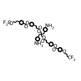 Nc1ccc(CC(COC(=O)/C=C/c2ccc(OC(=O)c3ccc(CCCOC(F)(F)F)cc3)cc2)(COC(=O)/C=C/c2ccc(OC(=O)c3ccc(OCCCC(F)(F)F)cc3)cc2)Cc2ccc(N)cc2)cc1